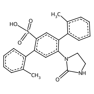 Cc1ccccc1-c1cc(S(=O)(=O)O)c(-c2ccccc2C)cc1N1CCNC1=O